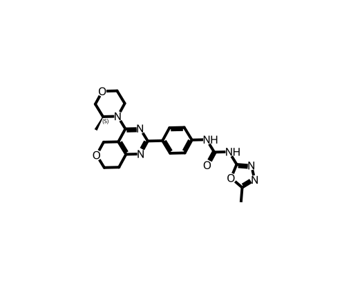 Cc1nnc(NC(=O)Nc2ccc(-c3nc4c(c(N5CCOC[C@@H]5C)n3)COCC4)cc2)o1